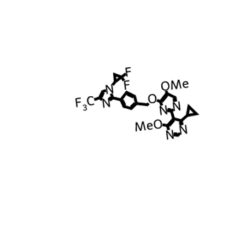 COc1cnc(-c2c(OC)ncnc2C2CC2)nc1OCc1ccc(-c2nc(C(F)(F)F)cn2C2CC2(F)F)cc1